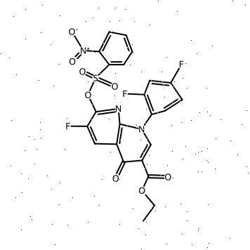 CCOC(=O)c1cn(-c2ccc(F)cc2F)c2nc(OS(=O)(=O)c3ccccc3[N+](=O)[O-])c(F)cc2c1=O